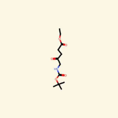 CCOC(=O)CCC(=O)CNC(=O)OC(C)(C)C